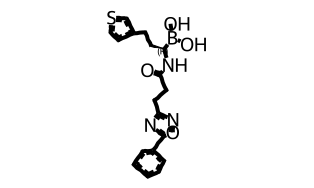 O=C(CCc1noc(-c2ccccc2)n1)N[C@@H](CCc1ccsc1)B(O)O